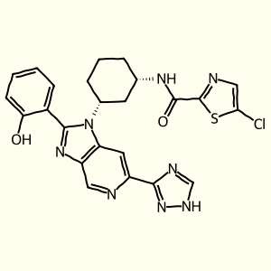 O=C(N[C@H]1CCC[C@@H](n2c(-c3ccccc3O)nc3cnc(-c4nc[nH]n4)cc32)C1)c1ncc(Cl)s1